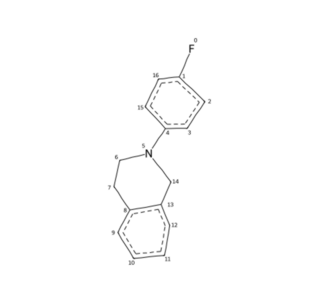 Fc1ccc(N2CCc3ccccc3C2)cc1